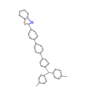 Cc1ccc(C(c2ccc(C)cc2)c2ccc(-c3ccc(-c4ccc(-c5nc6ccccc6s5)cc4)cc3)cc2)cc1